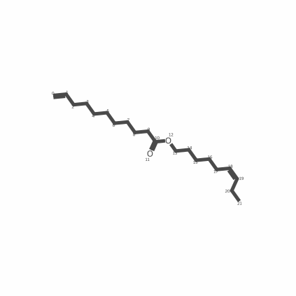 C=CCCCCCCCCC(=O)OCCCCC/C=C\CC